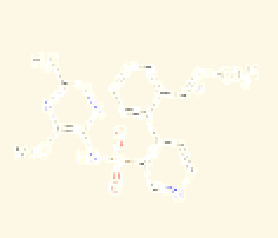 COc1nc(C)cnc1NS(=O)(=O)c1cnccc1-c1ccccc1/C=C/C(=O)O